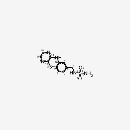 NS(=O)(=O)NCc1ccc2c(c1)Nc1nccnc1S2